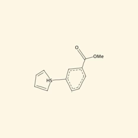 COC(=O)c1cc[c]c([SH]2C=CC=C2)c1